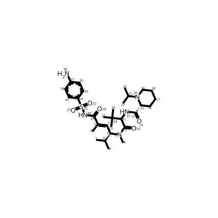 C/C(=C\[C@H](C(C)C)N(C)C(=O)C(NC(=O)[C@H]1CCCCN1C(C)C)C(C)(C)C)C(=O)NS(=O)(=O)c1ccc(N)cc1